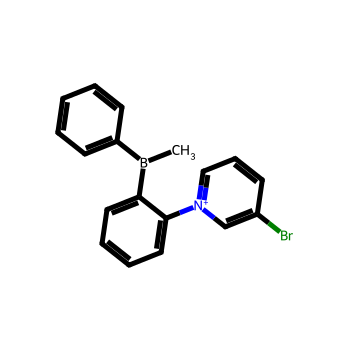 CB(c1ccccc1)c1ccccc1-[n+]1cccc(Br)c1